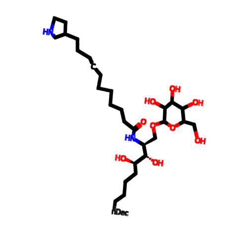 CCCCCCCCCCCCCC[C@@H](O)[C@@H](O)[C@H](COC1OC(CO)C(O)C(O)C1O)NC(=O)CCCCCCCCCCC1CCNC1